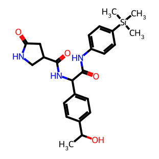 CC(O)c1ccc(C(NC(=O)C2CNC(=O)C2)C(=O)Nc2ccc([Si](C)(C)C)cc2)cc1